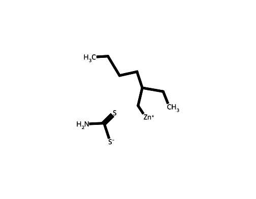 CCCCC(CC)[CH2][Zn+].NC(=S)[S-]